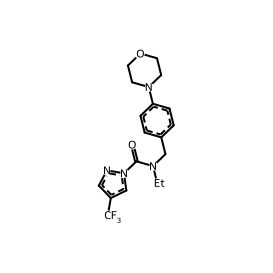 CCN(Cc1ccc(N2CCOCC2)cc1)C(=O)n1cc(C(F)(F)F)cn1